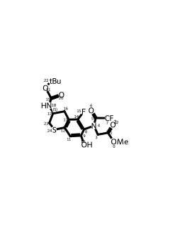 COC(=O)CN(C(=O)C(F)(F)F)c1c(O)cc2c(c1F)C[C@H](NC(=O)OC(C)(C)C)CS2